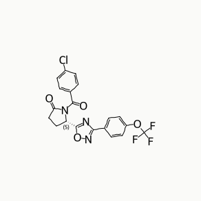 O=C1CC[C@@H](c2nc(-c3ccc(OC(F)(F)F)cc3)no2)N1C(=O)c1ccc(Cl)cc1